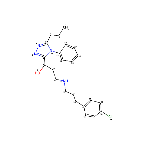 CCCc1nnc(C(O)CCNCCCc2ccc(Cl)cc2)n1-c1ccccc1